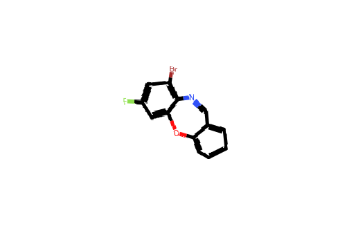 Fc1cc(Br)c2c(c1)Oc1ccccc1C=N2